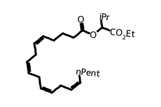 CCCCC/C=C\C/C=C\C/C=C\C/C=C\CCCC(=O)OC(C(=O)OCC)C(C)C